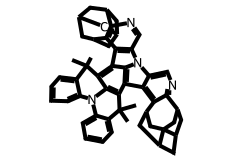 CC1(C)c2ccccc2N2c3ccccc3C(C)(C)c3c2c1c1c2c4c(ncc2n2c5cnc6c(c5c3c12)C1CC2CC3CC6CC32C1)C1CC2CC(C1)CC4C2